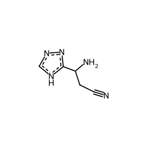 N#CCC(N)c1nnc[nH]1